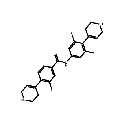 Cc1cc(NC(=O)c2ccc(C3=CCNCC3)c(F)c2)cc(F)c1C1=CCNCC1